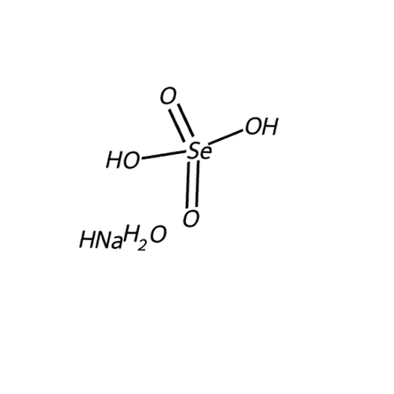 O.O=[Se](=O)(O)O.[NaH]